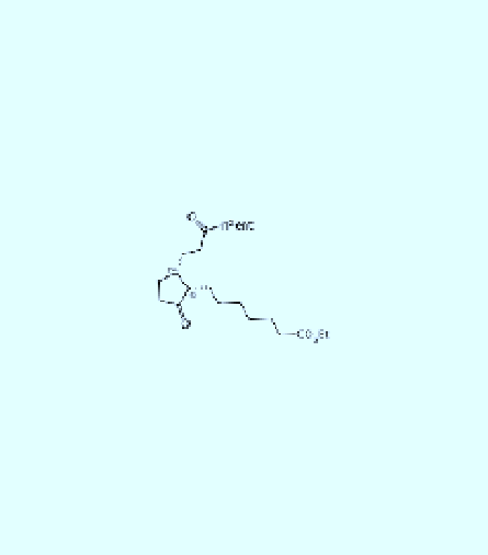 CCCCCC(=O)CC[C@H]1CCC(=O)[C@H]1CCCCCCC(=O)OCC